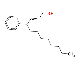 CCCCCCCCC(C=CC[O])c1ccccc1